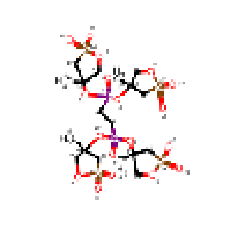 CC1(OP(=O)(CCP(=O)(OC2(C)COS(=O)(=O)C2)OC2(C)COS(=O)(=O)C2)OC2(C)COS(=O)(=O)C2)COS(=O)(=O)C1